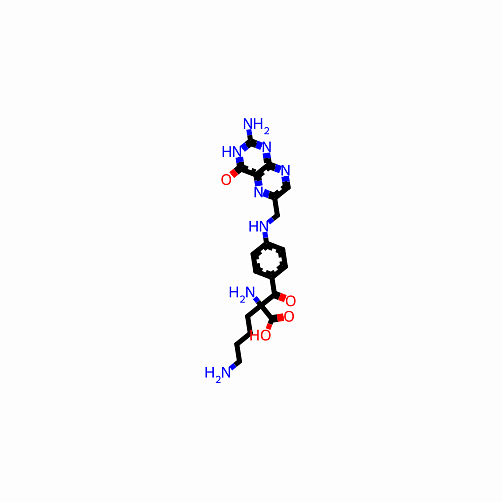 NCCCCC(N)(C(=O)O)C(=O)c1ccc(NCc2cnc3nc(N)[nH]c(=O)c3n2)cc1